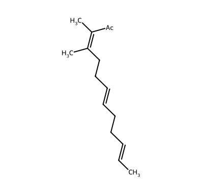 CC=CCCC=CCCC(C)=C(C)C(C)=O